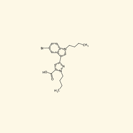 CCCCn1nc(-c2cn(CCCC)c3ccc(Br)cc23)cc1C(=O)O